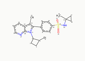 CCC1CCC1n1c(-c2ccc(S(=O)(=O)NC3(C)CC3)cc2)c(C#N)c2cccnc21